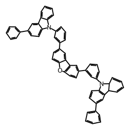 C1=CC2c3cc(-c4ccccc4)ccc3N(c3cccc(-c4ccc5oc6ccc(-c7cccc(-n8c9ccccc9c9cc(-c%10ccccc%10)ccc98)c7)cc6c5c4)c3)C2C=C1